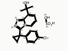 CC(C)(O)c1cccn2c(C3(c4ccc(Cl)cc4)CC3)nnc12.O=S(=O)(O)O